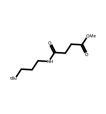 COC(=O)CCC(=O)NCCCC(C)(C)C